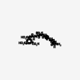 Nc1nc2ncc(CNc3ccc(C(=O)N[C@@H](CCC(=O)NCCNC(=O)CCC(C(=O)O)N4CCN(CC(=O)O)CCN(CC(=O)O)CC4)C(=O)O)cc3)nc2c(=O)[nH]1